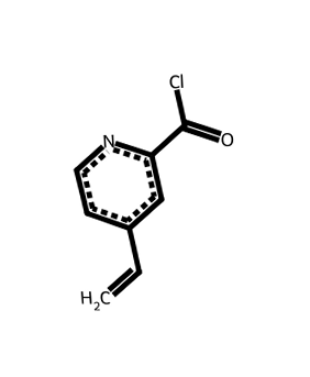 C=Cc1ccnc(C(=O)Cl)c1